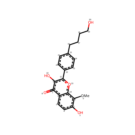 COc1c(O)ccc2c(=O)c(O)c(-c3ccc(CCCCO)cc3)oc12